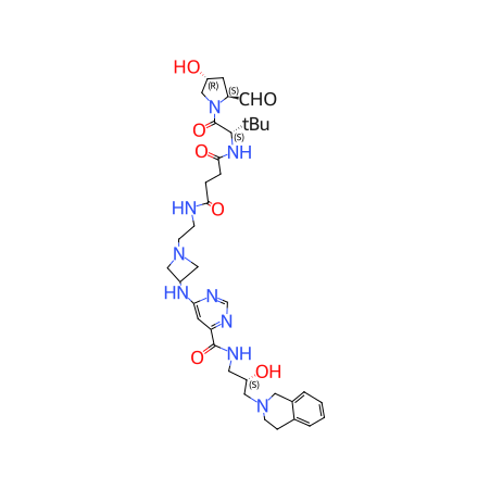 CC(C)(C)[C@H](NC(=O)CCC(=O)NCCN1CC(Nc2cc(C(=O)NC[C@H](O)CN3CCc4ccccc4C3)ncn2)C1)C(=O)N1C[C@H](O)C[C@H]1C=O